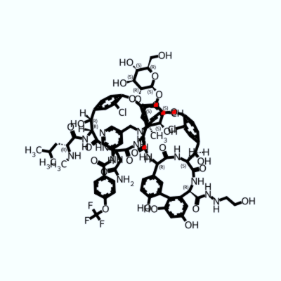 CN[C@H](CC(C)C)C(=O)N[C@H]1C(=O)N[C@@H](CC(N)=O)C(=O)N[C@H]2C(=O)N[C@H]3C(=O)N[C@H](C(=O)N[C@@H](C(=O)NNCCO)c4cc(O)cc(O)c4-c4cc3ccc4O)[C@H](O)c3ccc(c(Cl)c3)Oc3cc2cc(c3O[C@@H]2O[C@H](CO)[C@@H](O)[C@H](O)[C@H]2O[C@H]2C[C@](C)(NCc3cncc(NC(=O)c4ccc(OC(F)(F)F)cc4)c3)[C@H](O)[C@H](C)O2)Oc2ccc(cc2Cl)[C@H]1O